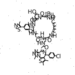 Cc1ncsc1-c1ccc([C@@H]2NC(=O)[C@@H]3C[C@@H](O)CN3C(=O)[C@H](C(C)(C)C)NC(=O)CCCCCNC(=O)[C@@H](CNC(=O)C[C@@H]3N=C(c4ccc(Cl)cc4)c4c(sc(C)c4C)-n4c(C)nnc43)NC(=O)CNC2=O)cc1